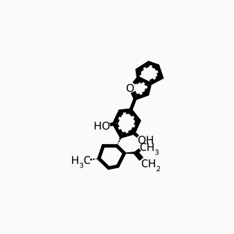 C=C(C)[C@H]1CC[C@H](C)C[C@@H]1c1c(O)cc(-c2cc3ccccc3o2)cc1O